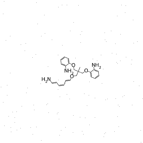 CC(CO/C=C/C=C\C=C\N)(COc1ccccc1N)COc1ccccc1N